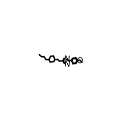 CCCCC1CCC(CCc2cnc(-c3ccc(OC)cc3)nc2)CC1